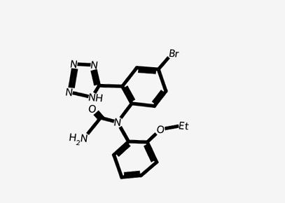 CCOc1ccccc1N(C(N)=O)c1ccc(Br)cc1-c1nnn[nH]1